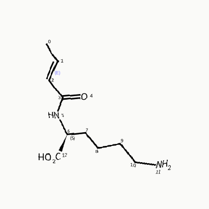 C/C=C/C(=O)N[C@@H](CCCCN)C(=O)O